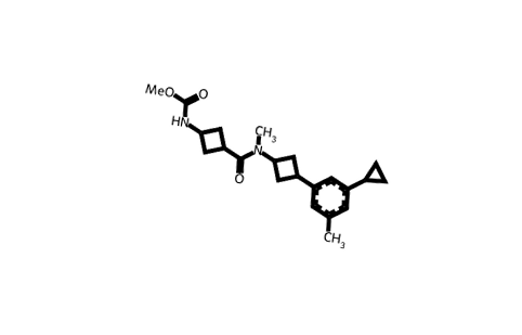 COC(=O)NC1CC(C(=O)N(C)C2CC(c3cc(C)cc(C4CC4)c3)C2)C1